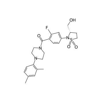 Cc1ccc(N2CCN(C(=O)c3ccc(N4[C@H](CO)CCS4(=O)=O)cc3F)CC2)c(C)c1